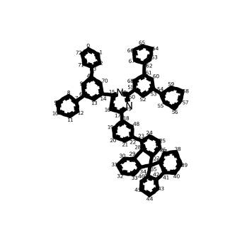 c1ccc(-c2cc(-c3ccccc3)cc(-c3cc(-c4cccc(-c5cccc6c5-c5ccccc5C65c6ccccc6-c6ccccc65)c4)nc(-c4cc(-c5ccccc5)cc(-c5ccccc5)c4)n3)c2)cc1